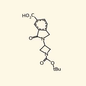 CC(C)(C)OC(=O)N1CC(N2Cc3ccc(C(=O)O)cc3C2=O)C1